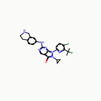 CC(C)(F)c1nc(-n2c3nc(Nc4ccc5c(c4)CNCC5)ncc3c(=O)n2C2CC2)ccc1F